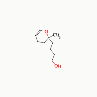 CC1(CCCCO)CCC=CO1